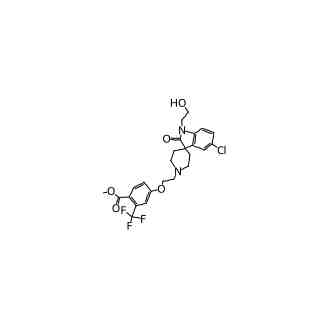 COC(=O)c1ccc(OCCN2CCC3(CC2)C(=O)N(CCO)c2ccc(Cl)cc23)cc1C(F)(F)F